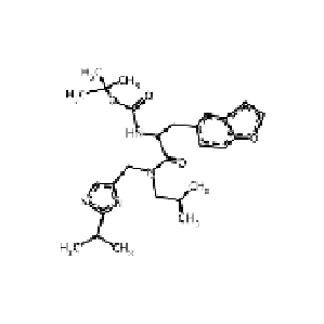 CC(C)CN(Cc1csc(C(C)C)n1)C(=O)C(Cc1ccc2occc2c1)NC(=O)OC(C)(C)C